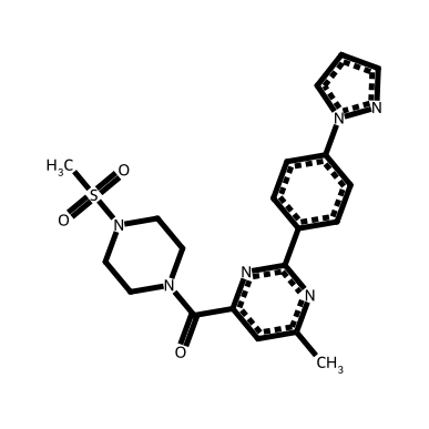 Cc1cc(C(=O)N2CCN(S(C)(=O)=O)CC2)nc(-c2ccc(-n3cccn3)cc2)n1